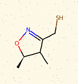 CC1C(CS)=NO[C@@H]1C